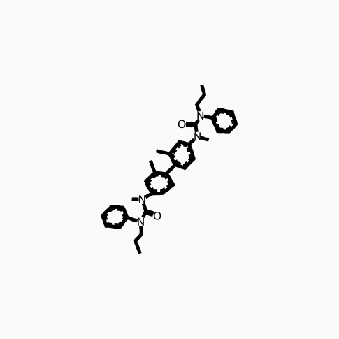 CCCN(C(=O)N(C)c1ccc(-c2ccc(N(C)C(=O)N(CCC)c3ccccc3)cc2C)c(C)c1)c1ccccc1